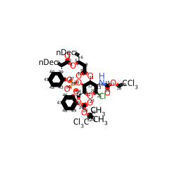 CCCCCCCCCCCC(=O)O[C@H](CCCCCCCCCCC)CC(=O)O[C@@H]1[C@H](NC(=O)OCC(Cl)(Cl)Cl)[C@@H](Cl)O[C@H](COC(=O)OC(C)(C)C(Cl)(Cl)Cl)[C@H]1OP(=O)(Oc1ccccc1)Oc1ccccc1